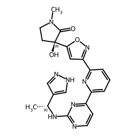 C[C@@H](Nc1nccc(-c2cccc(-c3cc([C@]4(O)CCN(C)C4=O)on3)n2)n1)c1cn[nH]c1